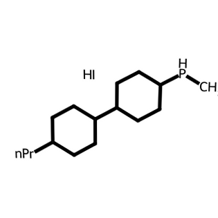 CCCC1CCC(C2CCC(PC)CC2)CC1.I